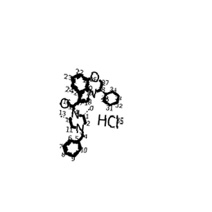 C[C@@H]1CN(Cc2ccccc2)C[C@H](C)N1C(=O)c1cn2c3c(cccc13)OC[C@H]2C1CCCCC1.Cl